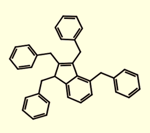 c1ccc(CC2=C(Cc3ccccc3)C(Cc3ccccc3)c3cccc(Cc4ccccc4)c32)cc1